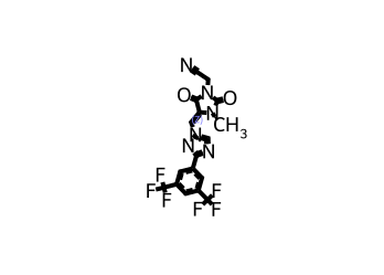 CN1C(=O)N(CC#N)C(=O)/C1=C/n1cnc(-c2cc(C(F)(F)F)cc(C(F)(F)F)c2)n1